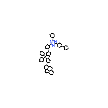 c1ccc(-c2ccc(-c3nc(-c4ccccc4)nc(-c4cccc(-c5ccc6c(c5)C(c5ccccc5)(c5ccccc5)c5cc(-c7ccc8ccc9cccc%10ccc7c8c9%10)ccc5-6)c4)n3)cc2)cc1